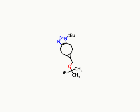 CC(C)C(C)(C)OCC1C2CCc3nnn(C(C)(C)C)c3CCC21